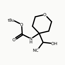 CC(C)(C)OC(=O)NC1(C(O)C#N)CCOCC1